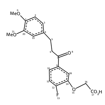 COc1ccc(CCC(=O)c2ccc(F)c(OCC(=O)O)c2)cc1OC